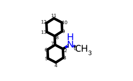 CNC1CCCCC1C1CCCCC1